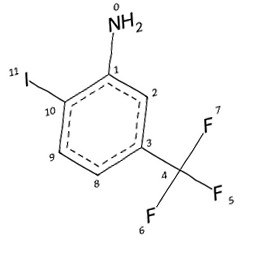 Nc1cc(C(F)(F)F)ccc1I